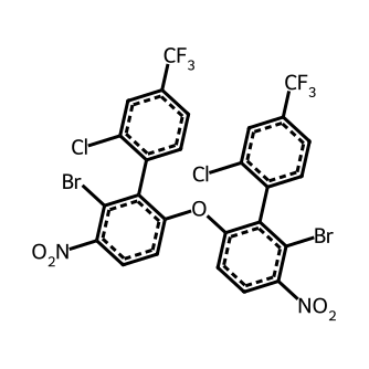 O=[N+]([O-])c1ccc(Oc2ccc([N+](=O)[O-])c(Br)c2-c2ccc(C(F)(F)F)cc2Cl)c(-c2ccc(C(F)(F)F)cc2Cl)c1Br